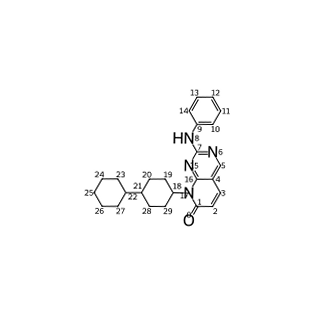 O=c1ccc2cnc(Nc3ccccc3)nc2n1C1CCC(C2CCCCC2)CC1